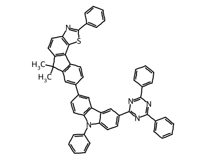 CC1(C)c2cc(-c3ccc4c(c3)c3cc(-c5nc(-c6ccccc6)nc(-c6ccccc6)n5)ccc3n4-c3ccccc3)ccc2-c2c1ccc1nc(-c3ccccc3)sc21